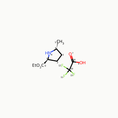 CCOC(=O)[C@@H]1CC[C@@H](C)N1.O=C(O)C(F)(F)F